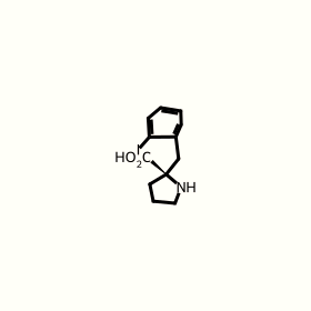 O=C(O)[C@]1(Cc2ccccc2I)CCCN1